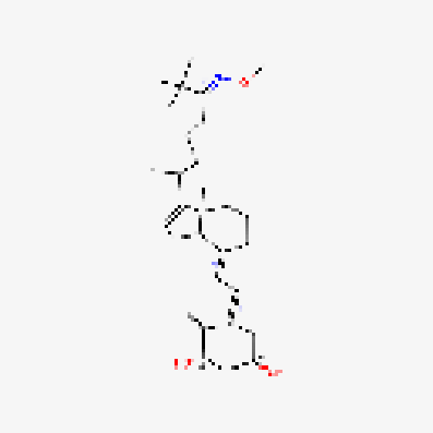 C=C1/C(=C\C=C2/CCCC3(C)C(C(C)CCC/C(=N\OC)C(C)(C)C)=CCC23)C[C@@H](O)C[C@@H]1O